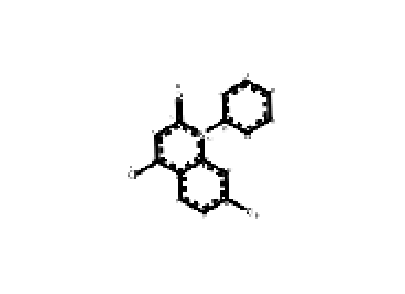 O=c1cc(Cl)c2ccc(Cl)cc2n1-c1ccccc1